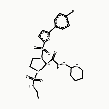 CCNS(=O)(=O)N1CCN(S(=O)(=O)c2ccc(-c3ccc(F)cc3)s2)[C@@H](C(=O)NOC2CCCCO2)C1